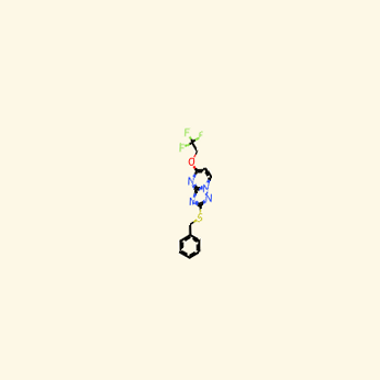 FC(F)(F)COc1ccn2nc(SCc3ccccc3)nc2n1